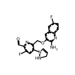 Nc1nc2ccc(F)cc2cc1OCc1nc(C=O)c(F)cc1N1C=CCN1